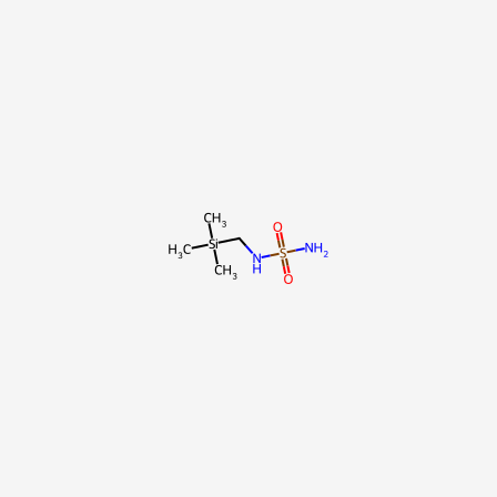 C[Si](C)(C)CNS(N)(=O)=O